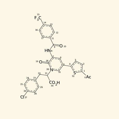 CC(=O)c1ccc(-c2cc(NC(=O)c3ccc(C(F)(F)F)cc3)c(=O)n(C(Cc3ccc(Cl)cc3)C(=O)O)c2)s1